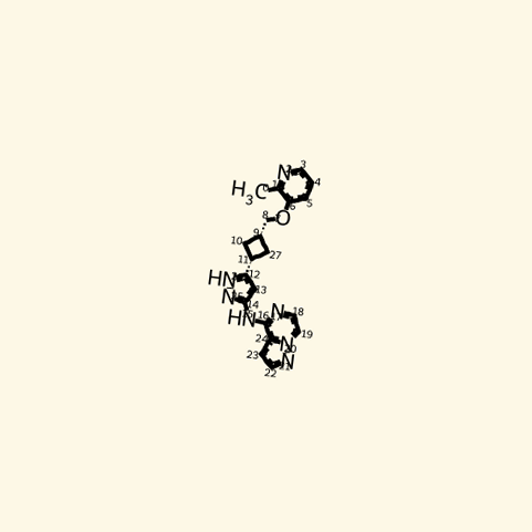 Cc1ncccc1OC[C@H]1C[C@@H](c2cc(Nc3nccn4nccc34)n[nH]2)C1